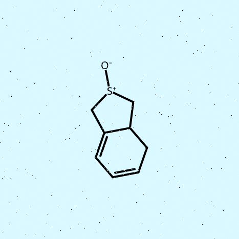 [O-][S+]1CC2=CC=CCC2C1